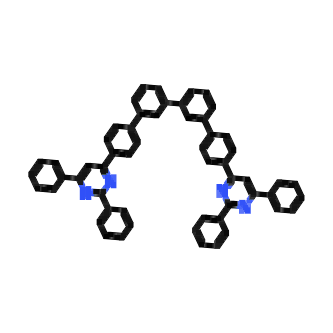 c1ccc(-c2cc(-c3ccc(-c4cccc(-c5cccc(-c6ccc(-c7cc(-c8ccccc8)nc(-c8ccccc8)n7)cc6)c5)c4)cc3)nc(-c3ccccc3)n2)cc1